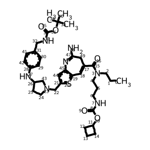 CCCN(CCCNC(=O)OC1CCC1)C(=O)C1=Cc2sc(CN3CCC(Nc4ccc(CNC(=O)OC(C)(C)C)cc4)C3)cc2N=C(N)C1